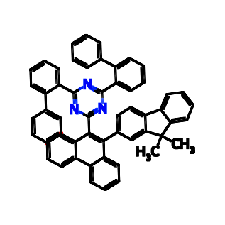 CC1(C)c2ccccc2-c2ccc(-c3c(-c4nc(-c5ccccc5-c5ccccc5)nc(-c5ccccc5-c5ccccc5)n4)c4ccccc4c4ccccc34)cc21